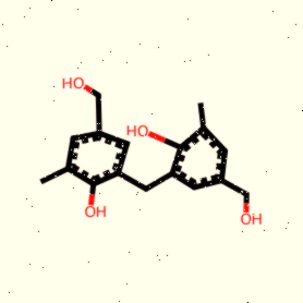 Cc1cc(CO)cc(Cc2cc(CO)cc(C)c2O)c1O